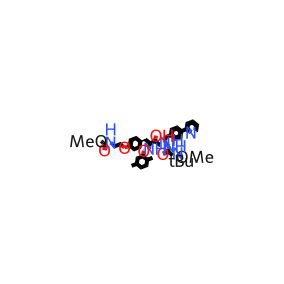 CONC(C(=O)NN(Cc1ccc(-c2ccccn2)cc1)CC(O)C(C[C@@H]1CC=C(OCCNC(=O)OC)CC1)NOC1CC(C)CCC1C)C(C)(C)C